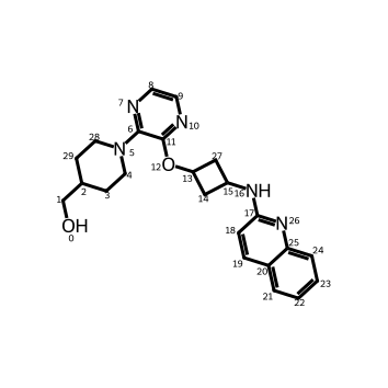 OCC1CCN(c2nccnc2OC2CC(Nc3ccc4ccccc4n3)C2)CC1